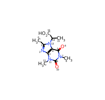 Cc1nc2c(c(=O)n(C)c(=O)n2C)n1C(C)C(=O)O